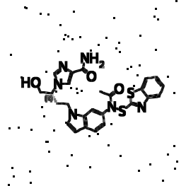 CC(=O)N(Sc1nc2ccccc2s1)c1ccc2ccn(CC[C@H](CO)n3cnc(C(N)=O)c3)c2c1